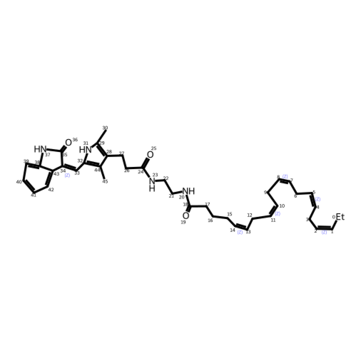 CC/C=C\C/C=C\C/C=C\C/C=C\C/C=C\CCCC(=O)NCCNC(=O)CCc1c(C)[nH]c(/C=C2\C(=O)Nc3ccccc32)c1C